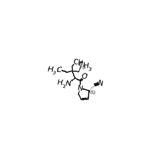 CCC(CC)(CC)C(N)C(=O)N1CC=C[C@H]1C#N